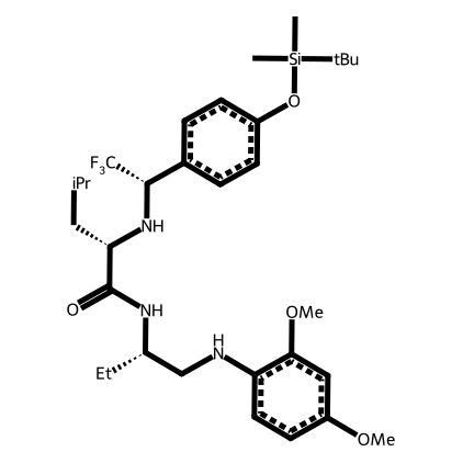 CC[C@@H](CNc1ccc(OC)cc1OC)NC(=O)[C@H](CC(C)C)N[C@@H](c1ccc(O[Si](C)(C)C(C)(C)C)cc1)C(F)(F)F